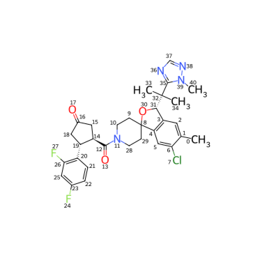 Cc1cc2c(cc1Cl)C1(CCN(C(=O)[C@@H]3CC(=O)C[C@H]3c3ccc(F)cc3F)CC1)O[C@@H]2C(C)(C)c1ncnn1C